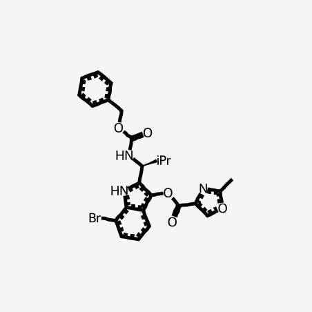 Cc1nc(C(=O)Oc2c([C@@H](NC(=O)OCc3ccccc3)C(C)C)[nH]c3c(Br)cccc23)co1